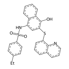 CCc1ccc(S(=O)(=O)Nc2cc(Sc3cccc4cccnc34)c(O)c3ccccc23)cc1